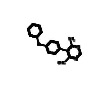 Nc1ncnc(C=O)c1-c1ccc(Oc2ccccc2)cc1